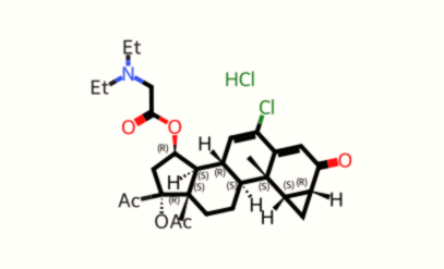 CCN(CC)CC(=O)O[C@@H]1C[C@](OC(C)=O)(C(C)=O)[C@@]2(C)CC[C@H]3[C@@H](C=C(Cl)C4=CC(=O)[C@@H]5C[C@@H]5[C@@]43C)[C@H]12.Cl